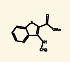 COC(=O)c1sc2ccccc2c1NC=O